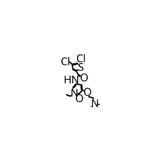 CCn1cc(NC(=O)c2cc(Cl)c(Cl)s2)cc(OCCN(C)C)c1=O